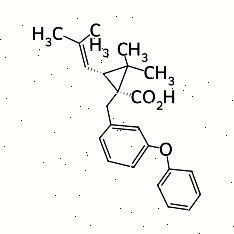 CC(C)=C[C@@H]1C(C)(C)[C@]1(Cc1cccc(Oc2ccccc2)c1)C(=O)O